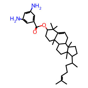 CC(C)=CCCC(C)C1CCC2(C)C3CC=C4C(C)(C)C(OC(=O)c5cc(N)cc(N)c5)CCC4(C)C3CCC12C